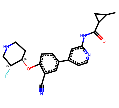 CC1CC1C(=O)Nc1cc(-c2ccc(O[C@H]3CCNC[C@H]3F)c(C#N)c2)ccn1